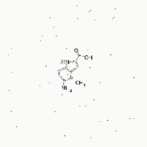 Cc1c(N)ccc2[nH]c(C(=O)O)cc12